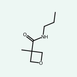 CCCNC(=O)C1(C)COC1